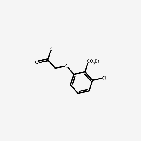 CCOC(=O)c1c(Cl)cccc1SCC(=O)Cl